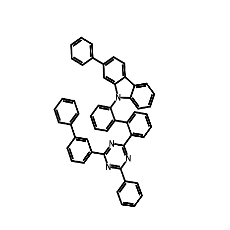 c1ccc(-c2cccc(-c3nc(-c4ccccc4)nc(-c4ccccc4-c4ccccc4-n4c5ccccc5c5ccc(-c6ccccc6)cc54)n3)c2)cc1